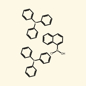 [OH][Ni]([Cl])[c]1cccc2ccccc12.c1ccc(P(c2ccccc2)c2ccccc2)cc1.c1ccc(P(c2ccccc2)c2ccccc2)cc1